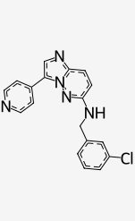 Clc1cccc(CNc2ccc3ncc(-c4ccncc4)n3n2)c1